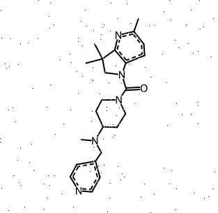 Cc1ccc2c(n1)C(C)(C)CN2C(=O)N1CCC(N(C)Cc2ccncc2)CC1